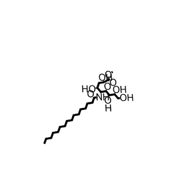 CCCCCCCCCCCCCCCC(=O)N[C@H]1[C@H]([C@H](O)[C@H](O)CO)O[C@](O)(C(=O)OC)C[C@@H]1O